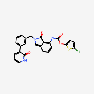 O=C(NC1=C2C(=O)N(Cc3cccc(-c4ccc[nH]c4=O)c3)C=C2CC=C1)Oc1ccc(Cl)s1